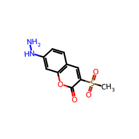 CS(=O)(=O)c1cc2ccc(NN)cc2oc1=O